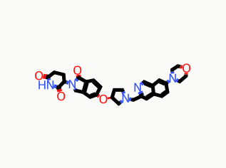 O=C1CCC(N2Cc3cc(O[C@H]4CCN(Cc5cc6ccc(N7CCOCC7)cc6cn5)C4)ccc3C2=O)C(=O)N1